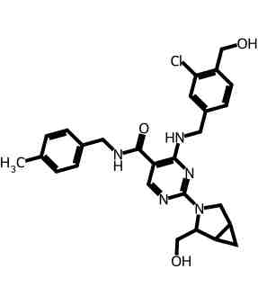 Cc1ccc(CNC(=O)c2cnc(N3CC4CC4C3CO)nc2NCc2ccc(CO)c(Cl)c2)cc1